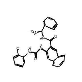 O=C(Nc1ccccc1Cl)Nc1cc2ccccc2cc1C(=O)NC(C(=O)O)c1ccccc1